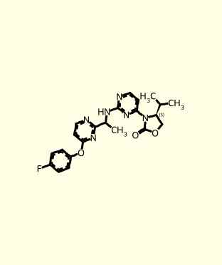 CC(Nc1nccc(N2C(=O)OC[C@@H]2C(C)C)n1)c1nccc(Oc2ccc(F)cc2)n1